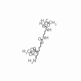 CC(C)(C)OC(=O)NCCCNC(=O)OCCCCN(CCCN)C(=O)OC(C)(C)C